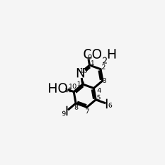 O=C(O)c1ccc2c(I)cc(I)c(O)c2n1